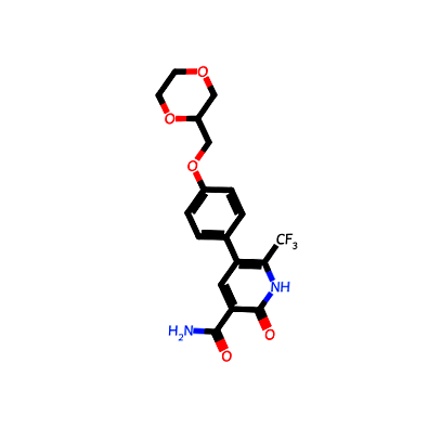 NC(=O)c1cc(-c2ccc(OCC3COCCO3)cc2)c(C(F)(F)F)[nH]c1=O